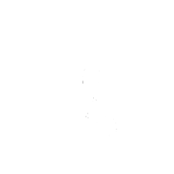 OCCOc1cccc(N2C=Nc3ccccc3C2)c1